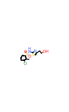 Cc1c(Cl)cccc1S(=O)(=O)Nc1nc(CCO)cs1